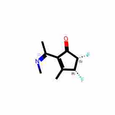 C/N=C(/C)C1=C(C)[C@@H](F)[C@@H](F)C1=O